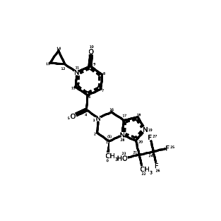 C[C@H]1CN(C(=O)c2ccc(=O)n(C3CC3)c2)Cc2cnc(C(C)(O)C(F)(F)F)n21